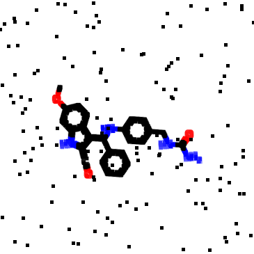 COc1ccc2c(=C(Nc3ccc(CNC(N)=O)cc3)c3ccccc3)c(=C=O)[nH]c2c1